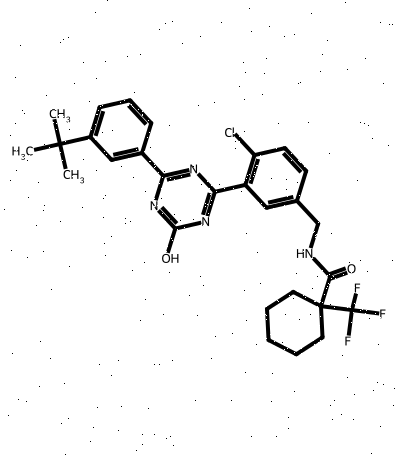 CC(C)(C)c1cccc(-c2nc(O)nc(-c3cc(CNC(=O)C4(C(F)(F)F)CCCCC4)ccc3Cl)n2)c1